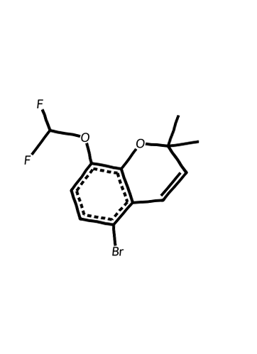 CC1(C)C=Cc2c(Br)ccc(OC(F)F)c2O1